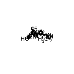 CC(Cc1nncn1C)c1cccc(-c2n[nH]c3c(N4CC(O)C4)cc(C(F)(F)F)nc23)c1